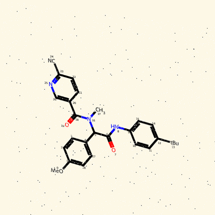 COc1ccc(C(C(=O)Nc2ccc(C(C)(C)C)cc2)N(C)C(=O)c2ccc(C#N)nc2)cc1